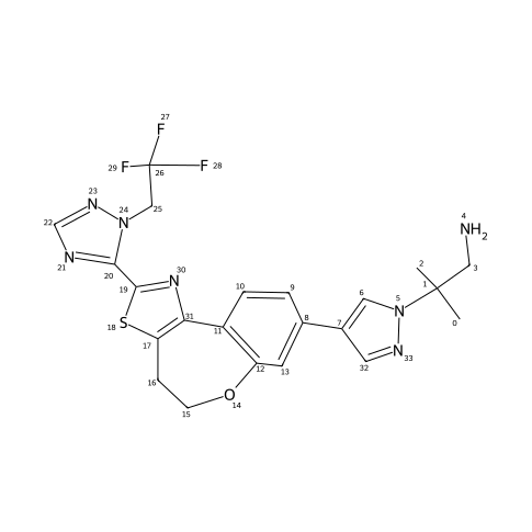 CC(C)(CN)n1cc(-c2ccc3c(c2)OCCc2sc(-c4ncnn4CC(F)(F)F)nc2-3)cn1